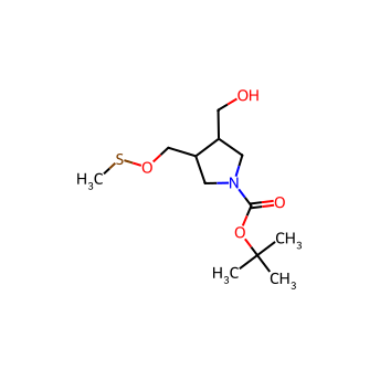 CSOCC1CN(C(=O)OC(C)(C)C)CC1CO